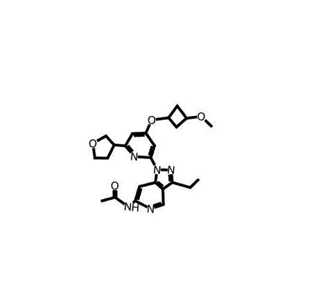 CCc1nn(-c2cc(OC3CC(OC)C3)cc(C3CCOC3)n2)c2cc(NC(C)=O)ncc12